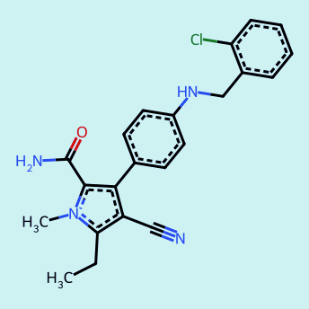 CCc1c(C#N)c(-c2ccc(NCc3ccccc3Cl)cc2)c(C(N)=O)n1C